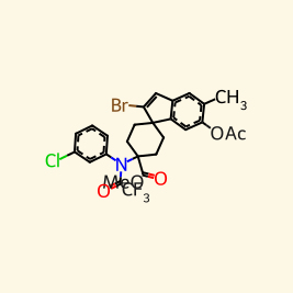 COC(=O)C1(N(C(=O)C(F)(F)F)c2cccc(Cl)c2)CCC2(CC1)C(Br)=Cc1cc(C)c(OC(C)=O)cc12